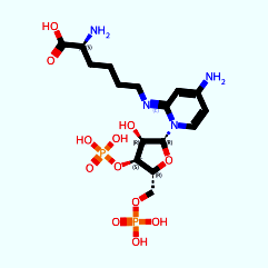 Nc1ccn([C@@H]2O[C@H](COP(=O)(O)O)[C@@H](OP(=O)(O)O)[C@H]2O)/c(=N/CCCC[C@H](N)C(=O)O)c1